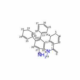 C=C(C1=CCCC=C1)N(C)c1cc(-c2ccccc2)c(C2=CCCC=C2)cc1N